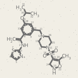 C=C(Nc1nccs1)c1cc(CN2CCN(S(=O)(=O)C3=C(C)ONC3)CC2)cc(OC(C)C)c1